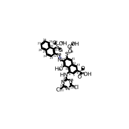 O=S(=O)(O)c1cc(Nc2nc(Cl)nc(Cl)n2)c2c(O)c(/N=N/c3ccc4ccccc4c3S(=O)(=O)O)c(SOOO)cc2c1